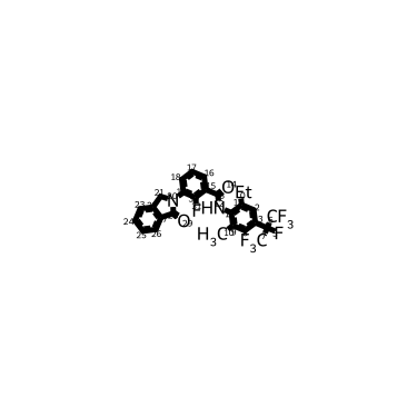 CCc1cc(C(F)(C(F)(F)F)C(F)(F)F)cc(C)c1NC(=O)c1cccc(N2Cc3ccccc3C2=O)c1F